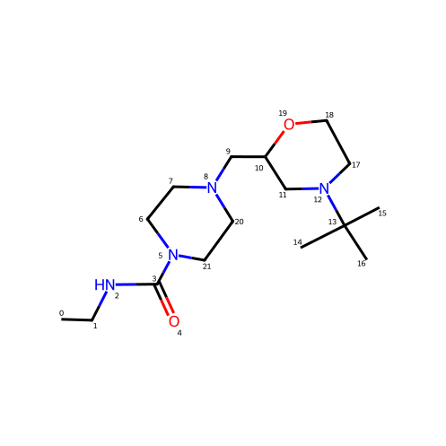 CCNC(=O)N1CCN(CC2CN(C(C)(C)C)CCO2)CC1